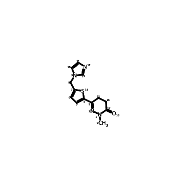 CN1N=C(c2ccc(Cn3ccnc3)s2)CCC1=O